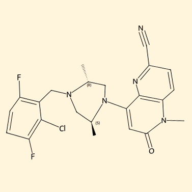 C[C@@H]1CN(c2cc(=O)n(C)c3ccc(C#N)nc23)[C@@H](C)CN1Cc1c(F)ccc(F)c1Cl